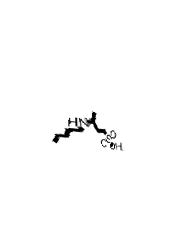 CCCCCNC(C)CCS(=O)(=O)O